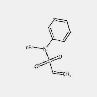 C=CS(=O)(=O)N(CCC)c1c[c]ccc1